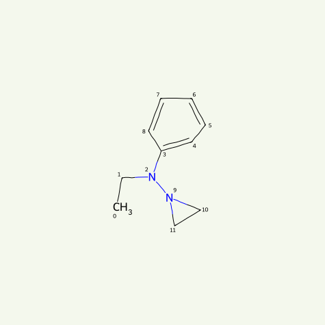 CCN(c1ccccc1)N1CC1